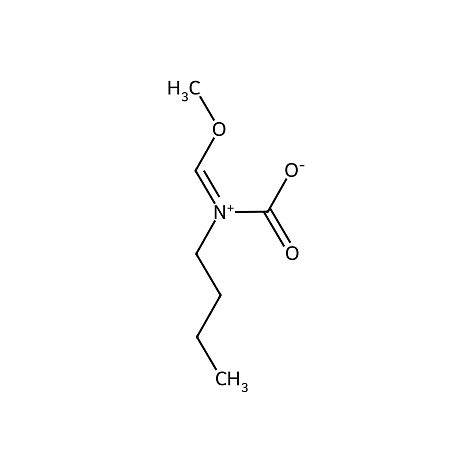 CCCC[N+](=COC)C(=O)[O-]